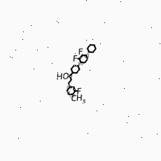 C[C@H]1CC[C@@H](CC[C@H](O)C2CCC([C@H]3CC[C@@H](C4CCCCC4)C(F)=C3F)CC2)C=C1F